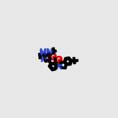 CC(C)(C)Nc1cc(-c2cccc(N3CCc4cc(C(C)(C)C)ccc4C3=O)c2CO)cn2ccnc12